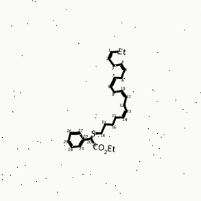 CC/C=C\C/C=C\C/C=C\C/C=C\C/C=C\CCCCSC(C(=O)OCC)c1ccccc1